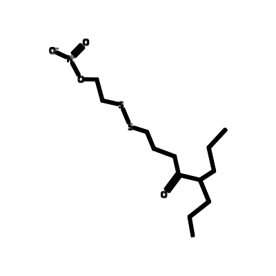 CCCC(CCC)C(=O)CCCSSCCO[N+](=O)[O-]